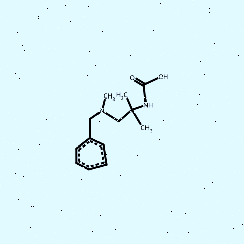 CN(Cc1ccccc1)CC(C)(C)NC(=O)O